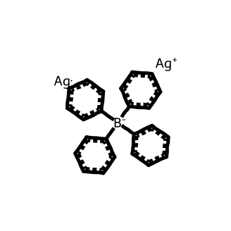 [Ag+].[Ag].c1ccc([B-](c2ccccc2)(c2ccccc2)c2ccccc2)cc1